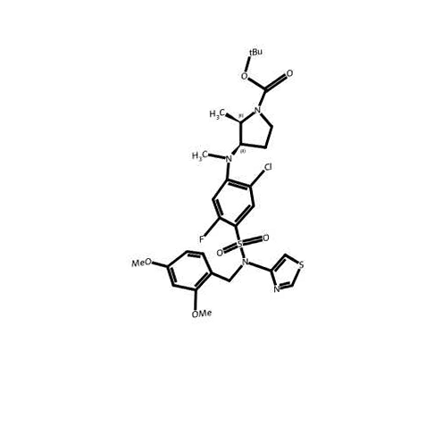 COc1ccc(CN(c2cscn2)S(=O)(=O)c2cc(Cl)c(N(C)[C@@H]3CCN(C(=O)OC(C)(C)C)[C@@H]3C)cc2F)c(OC)c1